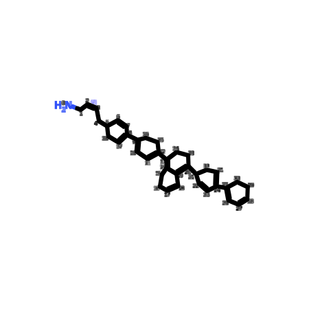 NC/C=C\CC1C=CC(C2=CC=C(C3=C4CCC=CC4=C(C4C=CC(C5=CC=CCC5)=CC4)CC3)CC2)=CC1